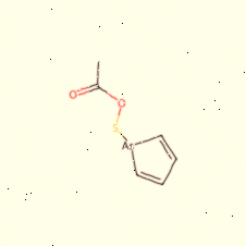 CC(=O)OS[As]1C=CC=C1